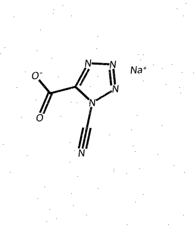 N#Cn1nnnc1C(=O)[O-].[Na+]